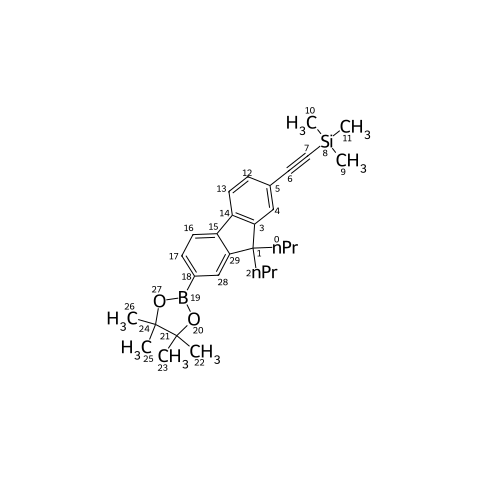 CCCC1(CCC)c2cc(C#C[Si](C)(C)C)ccc2-c2ccc(B3OC(C)(C)C(C)(C)O3)cc21